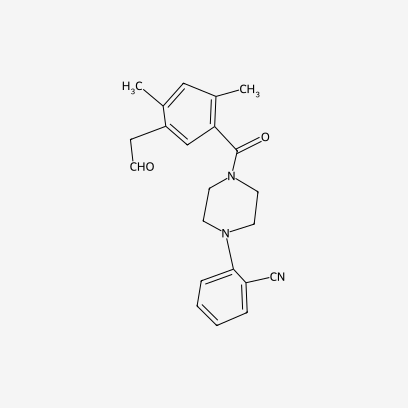 Cc1cc(C)c(C(=O)N2CCN(c3ccccc3C#N)CC2)cc1CC=O